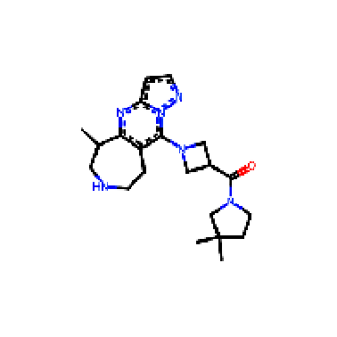 CC1CNCCc2c1nc1ccnn1c2N1CC(C(=O)N2CCC(C)(C)C2)C1